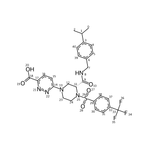 CC(C)c1ccc(CNC(=O)[C@H]2CN(c3ccc(C(=O)O)nn3)CCN2S(=O)(=O)c2ccc(C(F)(F)F)cc2)cc1